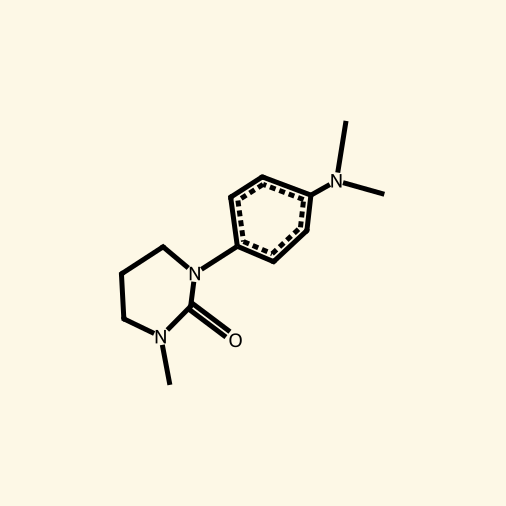 CN1CCCN(c2ccc(N(C)C)cc2)C1=O